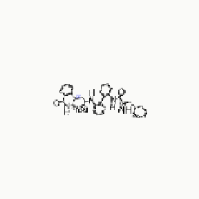 CC[C@H](C)[C@@H]1NC(=O)c2ccccc2/C1=C/C(=O)Nc1ccccc1-c1ccccc1NC(=O)[C@@H](N)Cc1ccccc1